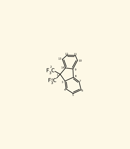 FC(F)(F)C1(C(F)(F)F)c2ccccc2-c2ccccc21